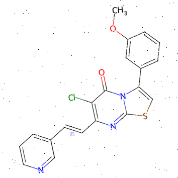 COc1cccc(-c2csc3nc(/C=C/c4cccnc4)c(Cl)c(=O)n23)c1